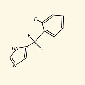 Fc1ccccc1C(F)(F)c1cnc[nH]1